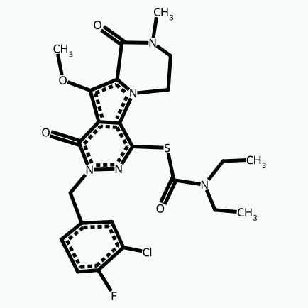 CCN(CC)C(=O)Sc1nn(Cc2ccc(F)c(Cl)c2)c(=O)c2c(OC)c3n(c12)CCN(C)C3=O